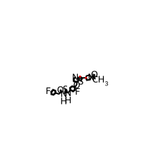 CC(=O)N1CC=C(c2cc3nccc(Oc4ccc(NC(=S)NC(=O)Cc5ccc(F)cc5)cc4F)c3s2)CC1